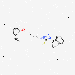 O=[N+]([O-])c1cccc(OCCCCCNC(=S)Nc2cccc3ccccc23)c1